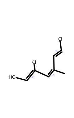 CC(=C/C(Cl)=C/O)/C=C/Cl